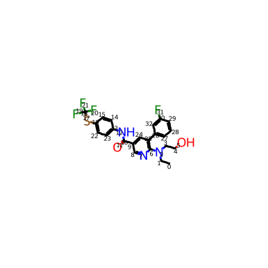 CCN(CCO)c1ncc(C(=O)Nc2ccc(SC(F)(F)F)cc2)cc1-c1cccc(F)c1